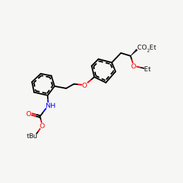 CCOC(=O)[C@H](Cc1ccc(OCCc2ccccc2NC(=O)OC(C)(C)C)cc1)OCC